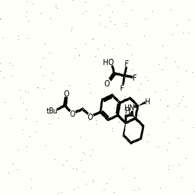 CC(C)(C)C(=O)OCOc1ccc2c(c1)[C@@]13CCCC[C@H]1[C@@H](C2)NCC3.O=C(O)C(F)(F)F